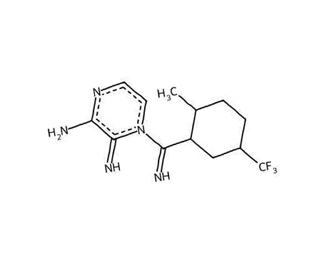 CC1CCC(C(F)(F)F)CC1C(=N)n1ccnc(N)c1=N